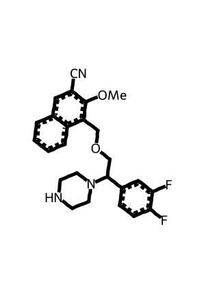 COc1c(C#N)cc2ccccc2c1COCC(c1ccc(F)c(F)c1)N1CCNCC1